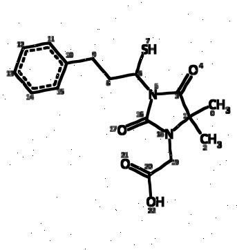 CC1(C)C(=O)N(C(S)CCc2ccccc2)C(=O)N1CC(=O)O